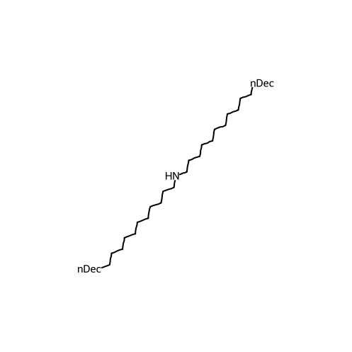 CCCCCCCCCCCCCCCCCCCCCNCCCCCCCCCCCCCCCCCCCCC